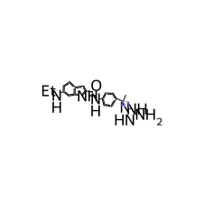 CCNc1ccc2cc(C(=O)Nc3ccc(/C(C)=N/NC(=N)N)cc3)[nH]c2c1